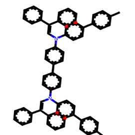 Cc1ccc(-c2ccc(N(C=C(c3ccccc3)c3ccccc3)c3ccc(-c4ccc(N(C=C(c5ccccc5)c5ccccc5)c5ccc(-c6ccc(C)cc6)cc5)cc4)cc3)cc2)cc1